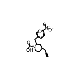 C#CCC1CCN(C(=O)O)C(Cc2ccc([N+](=O)[O-])cc2)C1